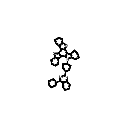 c1ccc(-c2nc(-c3ccc(-n4c5ccccc5c5c6sc7ccccc7c6c6sc7ccccc7c6c54)cc3)nc3ccccc23)cc1